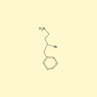 NCCC(Br)Cc1ccccc1